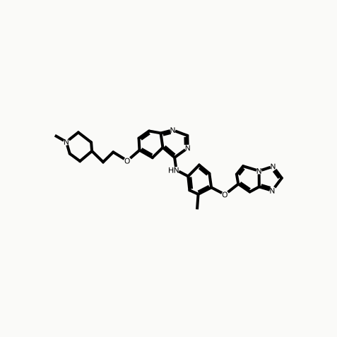 Cc1cc(Nc2ncnc3ccc(OCCC4CCN(C)CC4)cc23)ccc1Oc1ccn2ncnc2c1